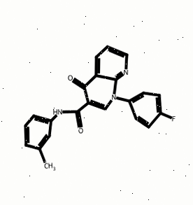 Cc1cccc(NC(=O)c2cn(-c3ccc(F)cc3)c3ncccc3c2=O)c1